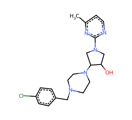 Cc1ccnc(N2CC(O)C(N3CCN(Cc4ccc(Cl)cc4)CC3)C2)n1